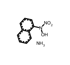 N.O=[N+]([O-])N(O)c1cccc2ccccc12